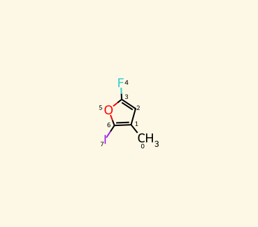 Cc1cc(F)oc1I